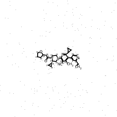 C=Cc1cc(-c2c(C3CC3)nc(N3CCN(C(=O)CC4CCCO4)[C@H](C4CC4)C3)c(C#N)c2C)ccn1